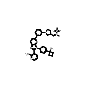 C/[N+](=C/C1CCN(c2cccc(-c3ccc4nc(-c5cccnc5N)n(-c5ccc(C6(N)CCC6)cc5)c4n3)c2)C1)S(C)(=O)=O